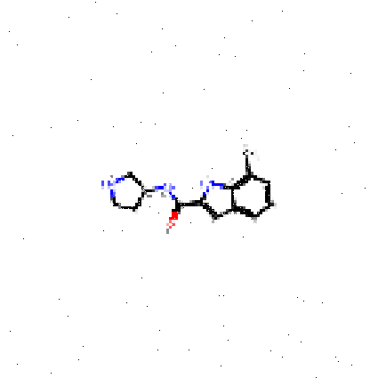 Cc1cccc2cc(C(=O)NC3CCNC3)[nH]c12